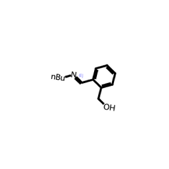 CCCC/N=C/c1ccccc1CO